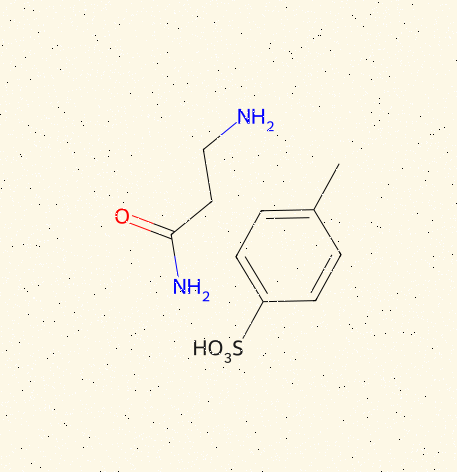 Cc1ccc(S(=O)(=O)O)cc1.NCCC(N)=O